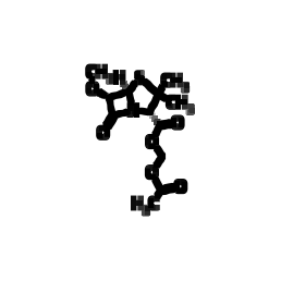 CO[C@@H]1C(=O)N2[C@@H]1SC(C)(C)[C@@H]2C(=O)OCOC(C)=O